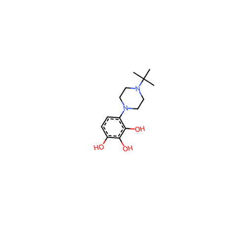 CC(C)(C)N1CCN(c2ccc(O)c(O)c2O)CC1